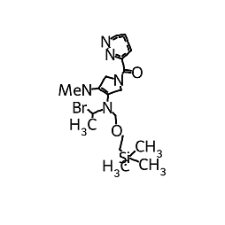 CNC1=C(N(COCC[Si](C)(C)C)C(C)Br)CN(C(=O)c2cccnn2)C1